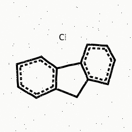 [C].c1ccc2c(c1)Cc1ccccc1-2